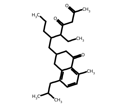 CCCC(CC1CC(=O)c2c(C)ccc(CC(C)C)c2C1)C(CC)C(=O)CC(C)=O